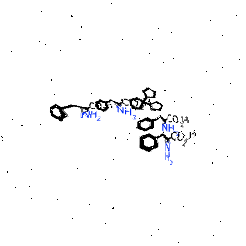 C1CCC(C2(C3CCCC3)CCCC2)C1.N[C@@H](Cc1ccccc1)C(=O)O.N[C@@H](Cc1ccccc1)C(=O)O.N[C@@H](Cc1ccccc1)C(=O)O.N[C@@H](Cc1ccccc1)C(=O)O